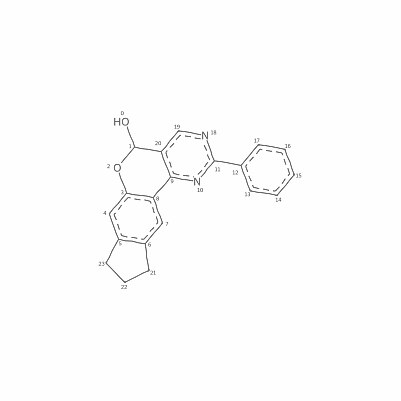 OC1Oc2cc3c(cc2-c2nc(-c4ccccc4)ncc21)CCC3